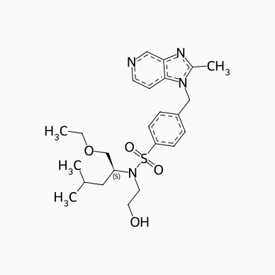 CCOC[C@H](CC(C)C)N(CCO)S(=O)(=O)c1ccc(Cn2c(C)nc3cnccc32)cc1